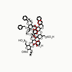 CO[C@H]1OC(COS(=O)(=O)O)[C@@H](O[C@@H]2OC(C(=O)O)[C@H](O[C@@H]3OC(COS(=O)(=O)O)[C@@H](O[C@@H]4OC(C(=O)O)[C@@H](O[C@H]5OC(COS(=O)(=O)O)[C@@H](OCc6ccccc6)[C@@H](OCc6ccccc6)C5N=[N+]=[N-])[C@@H](OCc5ccccc5)C4OCc4ccccc4)[C@@H](OSOOO)C3N=[N+]=[N-])[C@H](OCc3ccccc3)C2OS(=O)(=O)O)[C@@H](OCc2ccccc2)C1N=[N+]=[N-]